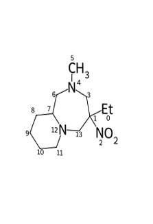 CCC1([N+](=O)[O-])CN(C)CC2CCCCN2C1